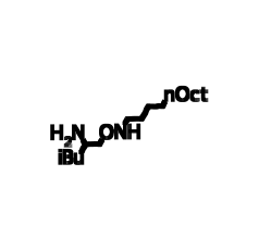 CCCCCCCCCCCCNOCC(N)C(C)CC